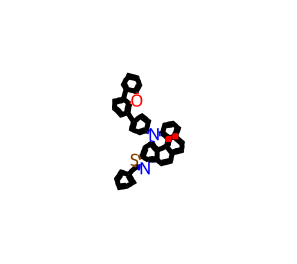 c1ccc(-c2nc3c(cc(N(c4ccccc4)c4ccc(-c5cccc6c5oc5ccccc56)cc4)c4c5ccccc5ccc34)s2)cc1